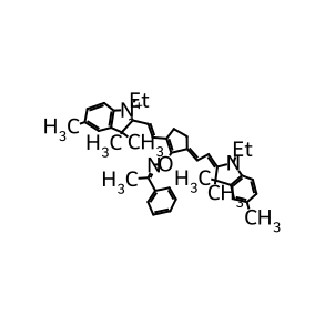 CCN1/C(=C/C=C2\CCC(/C=C/C3=[N+](CC)c4ccc(C)cc4C3(C)C)=C2O/N=C(/C)c2ccccc2)C(C)(C)c2cc(C)ccc21